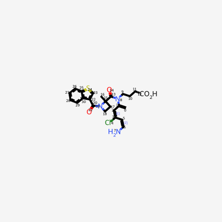 C=C(/C=C(Cl)\C=C/N)N(CCCC(=O)O)C(=O)C1(C)CCN1C(=O)c1csc2ccccc12